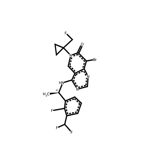 C[C@@H](Nc1ncnc2c(Br)c(=O)n(C3(CF)CC3)cc12)c1cccc(C(F)F)c1F